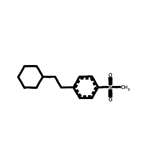 CS(=O)(=O)c1ccc(CCC2CCCCC2)cc1